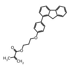 C=C(C)C(=O)OCCCOc1ccc(-c2cccc3c2Cc2ccccc2-3)cc1